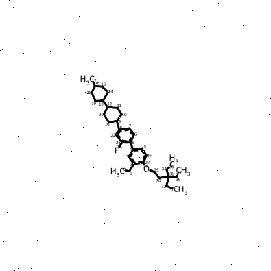 CCc1cc(-c2ccc(C3CCC(C4CCC(C)CC4)CC3)cc2F)ccc1OCCC(CC)(CC)CC